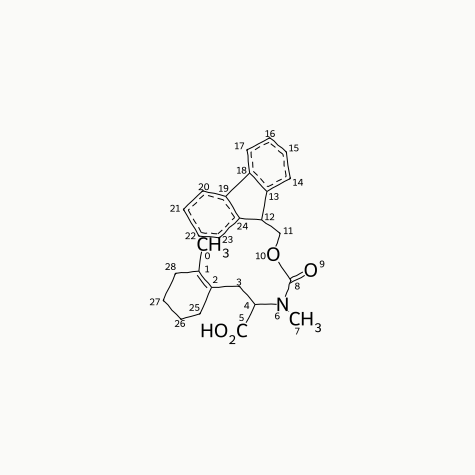 CC1=C(CC(C(=O)O)N(C)C(=O)OCC2c3ccccc3-c3ccccc32)CCCC1